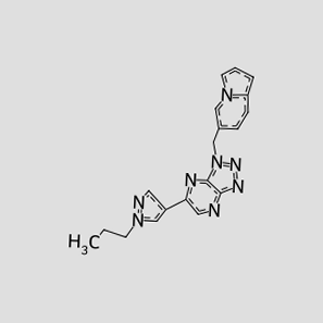 CCCn1cc(-c2cnc3nnn(Cc4ccc5cccn5c4)c3n2)cn1